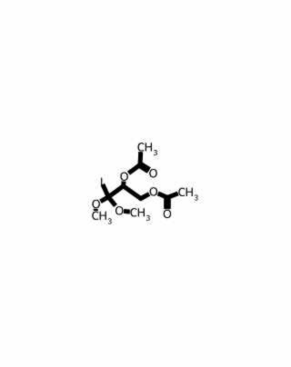 COC(I)(OC)C(COC(C)=O)OC(C)=O